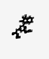 C=C1N(CCN(CC(=O)OC(C)(C)C)CC(=O)OC(C)(C)C)c2ccccc2C1(C)C